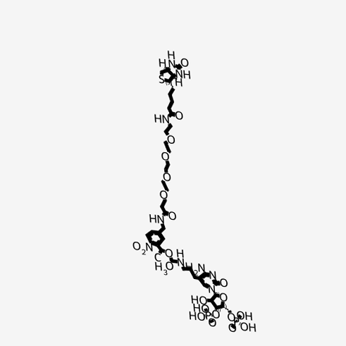 CC(OC(=O)NCCCc1cn([C@@H]2O[C@H](COP(=O)(O)O)[C@H](OP(=O)(O)O)C2O)c(=O)nc1N)c1cc(CNC(=O)CCOCCOCCOCCOCCNC(=O)CCCC[C@@H]2SC[C@@H]3NC(=O)N[C@@H]32)ccc1[N+](=O)[O-]